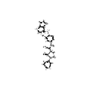 O=C(Nc1ccc(Oc2ccnc3ccsc23)c(F)c1)C1CCN(c2ccccc2)C1=O